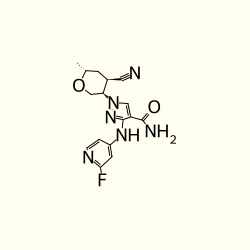 C[C@@H]1C[C@@H](C#N)[C@@H](n2cc(C(N)=O)c(Nc3ccnc(F)c3)n2)CO1